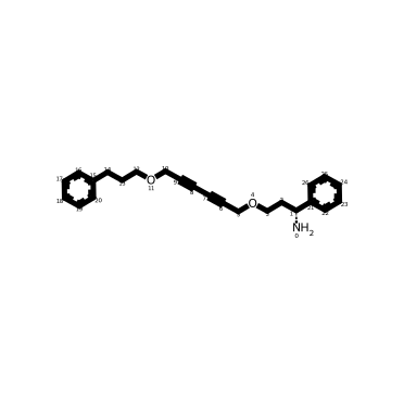 N[C@H](CCOCC#CC#CCOCCCc1ccccc1)c1ccccc1